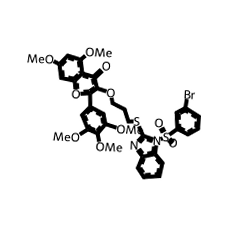 COc1cc(OC)c2c(=O)c(OCCCSc3nc4ccccc4n3S(=O)(=O)c3cccc(Br)c3)c(-c3cc(OC)c(OC)c(OC)c3)oc2c1